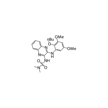 CCCCOc1c(Nc2nc3ccccc3nc2NS(=O)(=O)N(C)C)cc(OC)cc1OC